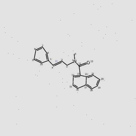 CN(C/C=C/c1ccccc1)C(=O)c1cccc2ccccc12